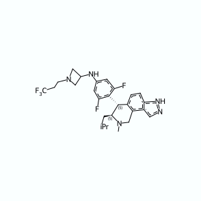 CC(C)C[C@H]1[C@H](c2c(F)cc(NC3CN(CCC(F)(F)F)C3)cc2F)c2ccc3[nH]ncc3c2CN1C